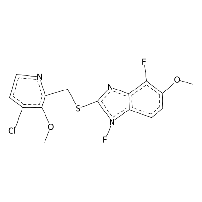 COc1ccc2c(nc(SCc3nccc(Cl)c3OC)n2F)c1F